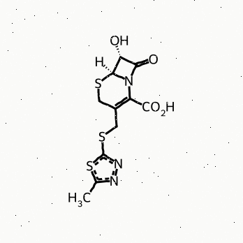 Cc1nnc(SCC2=C(C(=O)O)N3C(=O)[C@@H](O)[C@@H]3SC2)s1